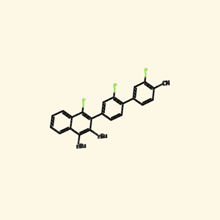 CCCCc1c(-c2ccc(-c3ccc(C#N)c(F)c3)c(F)c2)c(F)c2ccccc2c1CCCC